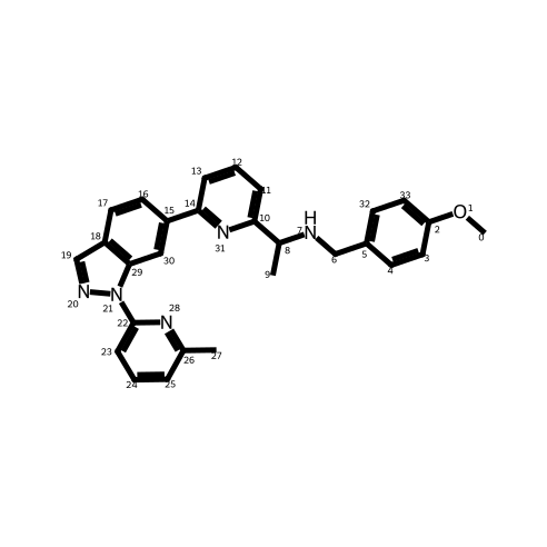 COc1ccc(CNC(C)c2cccc(-c3ccc4cnn(-c5cccc(C)n5)c4c3)n2)cc1